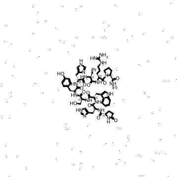 CCNC(=O)[C@@H]1CCCN1C(=O)[C@H](CCCNC(=N)N)NC(=O)[C@H](CC(C)C)NC(=O)[C@@H](Cc1c[nH]cn1)NC(=O)[C@H](Cc1ccc(O)cc1)NC(=O)[C@H](CO)NC(=O)[C@H](Cc1c[nH]c2ccccc12)NC(=O)[C@H](Cc1c[nH]cn1)NC(=O)[C@@H]1CCC(=O)N1